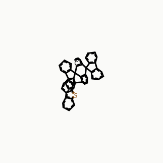 c1ccc2c(c1)-c1ccccc1C21c2ccccc2C2(c3ccccc3-c3ccccc32)c2c(-c3cccc4c3sc3ccccc34)cccc21